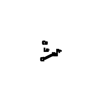 [Ce].[Cl][Nd].[La].[Pr]